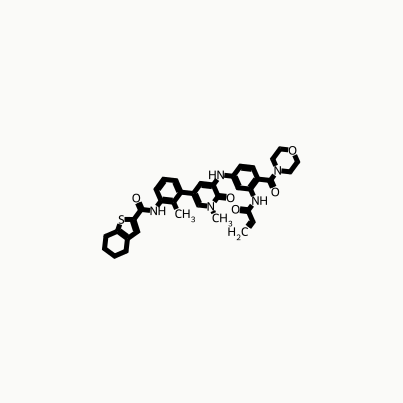 C=CC(=O)Nc1cc(Nc2cc(-c3cccc(NC(=O)c4cc5c(s4)CCCC5)c3C)cn(C)c2=O)ccc1C(=O)N1CCOCC1